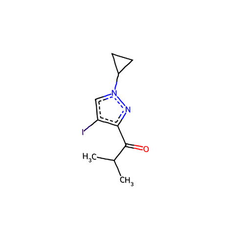 CC(C)C(=O)c1nn(C2CC2)cc1I